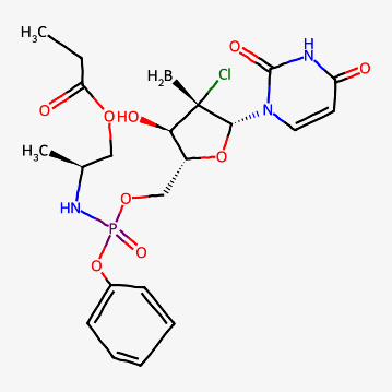 B[C@]1(Cl)[C@H](O)[C@@H](COP(=O)(N[C@@H](C)COC(=O)CC)Oc2ccccc2)O[C@H]1n1ccc(=O)[nH]c1=O